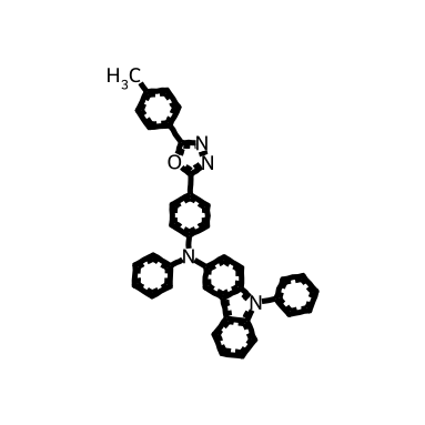 Cc1ccc(-c2nnc(-c3ccc(N(c4ccccc4)c4ccc5c(c4)c4ccccc4n5-c4ccccc4)cc3)o2)cc1